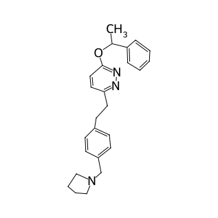 CC(Oc1ccc(CCc2ccc(CN3CCCC3)cc2)nn1)c1ccccc1